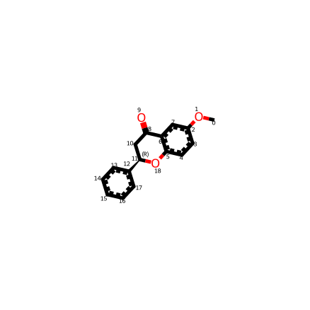 COc1ccc2c(c1)C(=O)C[C@H](c1ccccc1)O2